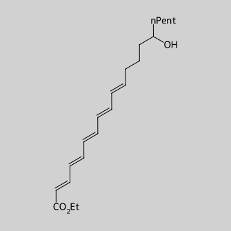 CCCCCC(O)CCC/C=C/C=C/C=C/C=C/C=C/C(=O)OCC